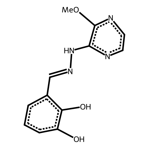 COc1nccnc1NN=Cc1cccc(O)c1O